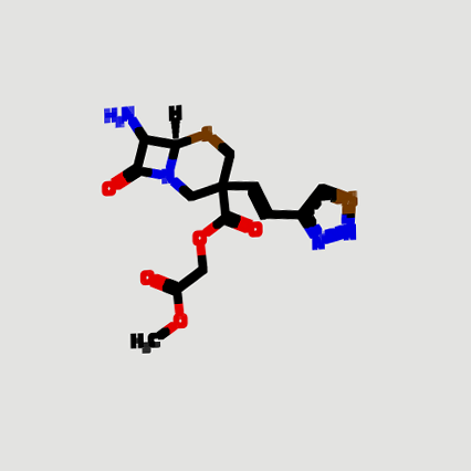 COC(=O)COC(=O)C1(C=Cc2csnn2)CS[C@@H]2C(N)C(=O)N2C1